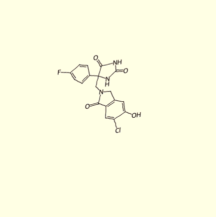 O=C1NC(=O)C(CN2Cc3cc(O)c(Cl)cc3C2=O)(c2ccc(F)cc2)N1